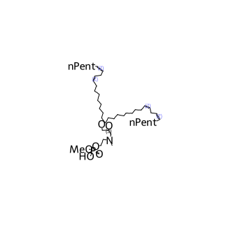 CCCCC/C=C\C/C=C\CCCCCCCCC1(CCCCCCCC/C=C\C/C=C\CCCCC)OC[C@H](CN(C)CCOP(=O)(O)OC)O1